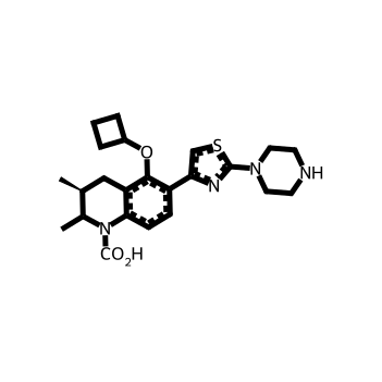 CC1[C@@H](C)Cc2c(ccc(-c3csc(N4CCNCC4)n3)c2OC2CCC2)N1C(=O)O